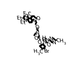 CC[C@@H]1COc2c(ccc3c2c(C(F)(F)F)cc(=O)n3CCOCCN2CCO[C@H](COc3cc(C)c(Br)cc3NC(=O)Nc3cnc(C)cn3)C2)N1CC